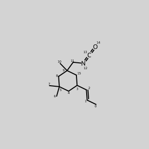 CC=CC1CC(C)(C)CC(C)(CN=C=O)C1